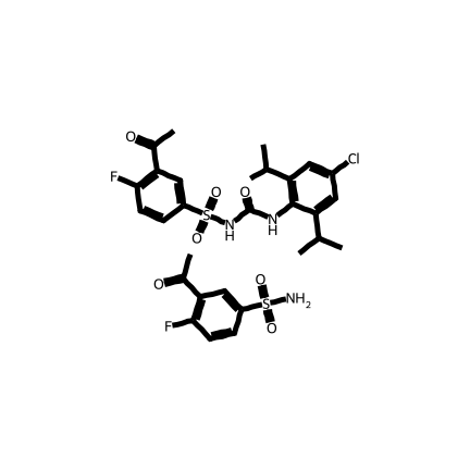 CC(=O)c1cc(S(=O)(=O)NC(=O)Nc2c(C(C)C)cc(Cl)cc2C(C)C)ccc1F.CC(=O)c1cc(S(N)(=O)=O)ccc1F